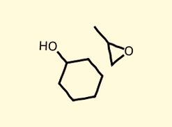 CC1CO1.OC1CCCCC1